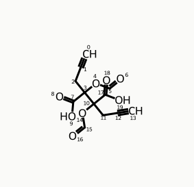 C#CCC(OC=O)(C(=O)O)C(CC#C)(OC=O)C(=O)O